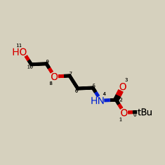 CC(C)(C)OC(=O)NCCCOCCO